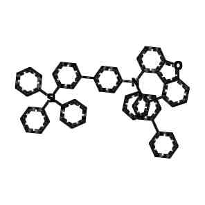 c1ccc(-c2ccc(N(c3ccc(-c4cccc([Si](c5ccccc5)(c5ccccc5)c5ccccc5)c4)cc3)c3cccc4oc5cccc(-c6ccccc6)c5c34)cc2)cc1